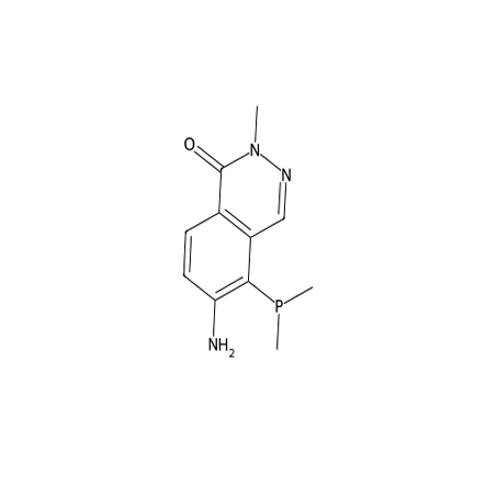 Cn1ncc2c(P(C)C)c(N)ccc2c1=O